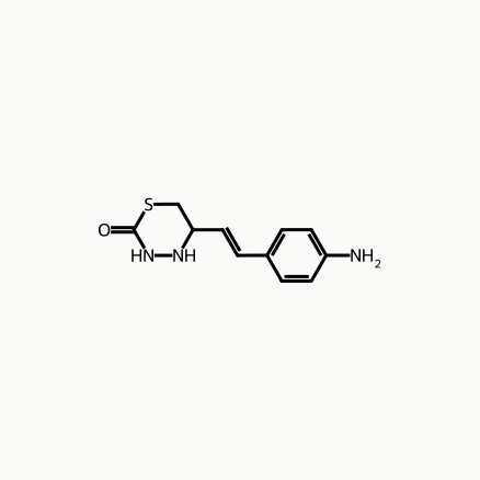 Nc1ccc(C=CC2CSC(=O)NN2)cc1